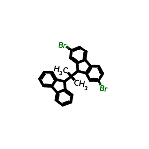 CC(C)(C1c2ccccc2-c2ccccc21)C1c2cc(Br)ccc2-c2ccc(Br)cc21